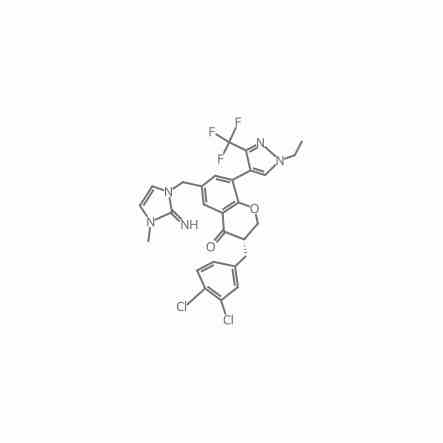 CCn1cc(-c2cc(Cn3ccn(C)c3=N)cc3c2OC[C@H](Cc2ccc(Cl)c(Cl)c2)C3=O)c(C(F)(F)F)n1